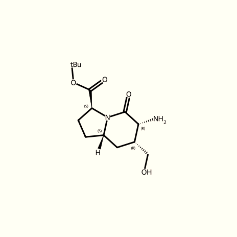 CC(C)(C)OC(=O)[C@@H]1CC[C@H]2C[C@@H](CO)[C@@H](N)C(=O)N21